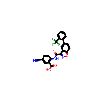 N#Cc1ccc(NC(=O)c2noc3ccc(-c4ccccc4C(F)(F)F)cc23)c(C(=O)O)c1